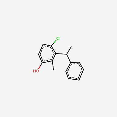 Cc1c(O)ccc(Cl)c1C(C)c1ccccc1